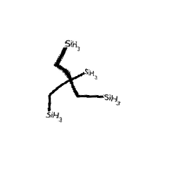 [SiH3]CC([SiH3])(C[SiH3])C[SiH3]